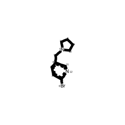 Brc1ccc(CN2CCCC2)cn1